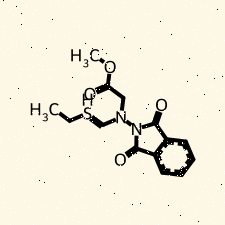 CC[SH]=CN(CC(=O)OC)N1C(=O)c2ccccc2C1=O